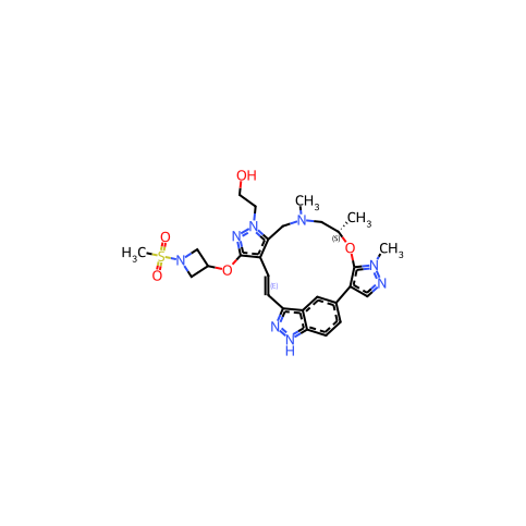 C[C@H]1CN(C)Cc2c(c(OC3CN(S(C)(=O)=O)C3)nn2CCO)/C=C/c2n[nH]c3ccc(cc23)-c2cnn(C)c2O1